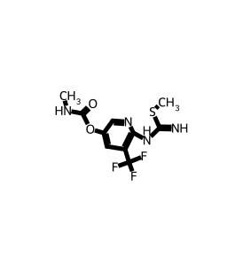 CNC(=O)Oc1cnc(NC(=N)SC)c(C(F)(F)F)c1